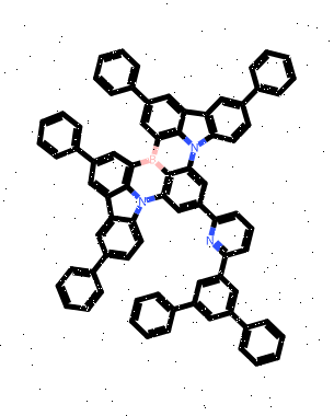 c1ccc(-c2cc(-c3ccccc3)cc(-c3cccc(-c4cc5c6c(c4)-n4c7ccc(-c8ccccc8)cc7c7cc(-c8ccccc8)cc(c74)B6c4cc(-c6ccccc6)cc6c7cc(-c8ccccc8)ccc7n-5c46)n3)c2)cc1